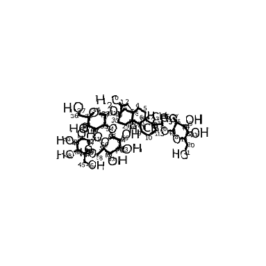 C=C1C[C@@]23CC[C@H]4[C@@](C)(CCC[C@@]4(C)C(=O)O[C@@H]4OC(CO)[C@@H](O)[C@@H](O)C4O)[C@@H]2CC[C@]1(O[C@@H]1OC(CO)[C@@H](O)[C@@H](O[C@@H]2OC(CO)[C@@H](O)[C@@H](O)C2O)C1O[C@@H]1OC(CO)[C@@H](O)[C@@H](O)C1O)C3